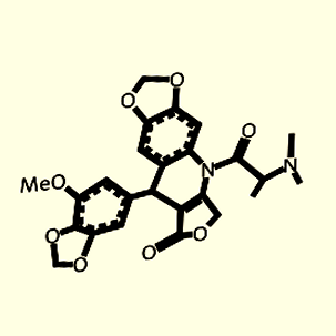 COc1cc(C2C3=C(COC3=O)N(C(=O)C(C)N(C)C)c3cc4c(cc32)OCO4)cc2c1OCO2